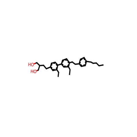 CCCCCc1ccc(CCc2ccc(-c3ccc(CCC(CO)CO)cc3CC)cc2CC)cc1